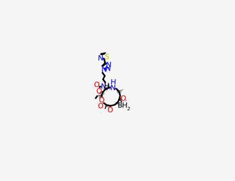 B[C@@H]1CC(=O)[C@@H](C)C(=O)O[C@H](CC)[C@@]2(C)OC(=O)N(CCCCn3cc(-c4nccs4)nn3)[C@@H]2[C@@H](C)NC[C@H](C)C[C@]1(C)OC